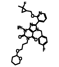 CC(C)n1c(=O)n(CCCOC2CCCCO2)c(=O)c2c1nc(-c1cccnc1OCC1CC1(C)F)n2Cc1ccc(F)cc1